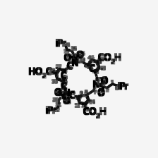 CC(C)CCS(=O)(=O)N1Cc2cc(cc(C(=O)O)c2)CN(S(=O)(=O)CCC(C)C)Cc2cc(cc(C(=O)O)c2)CN(S(=O)(=O)CCC(C)C)Cc2cc(cc(C(=O)O)c2)C1